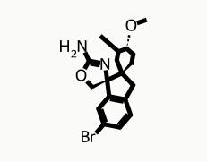 CO[C@@H]1CC[C@]2(Cc3ccc(Br)cc3[C@@]23COC(N)=N3)CC1C